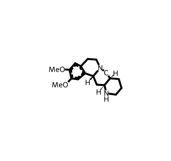 COc1cc2c(cc1OC)[C@H]1C[C@@H]3NCCC[C@@H]3CN1CC2